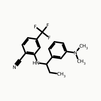 CCC(Nc1cc(C(F)(F)F)ccc1C#N)c1cccc(N(C)C)c1